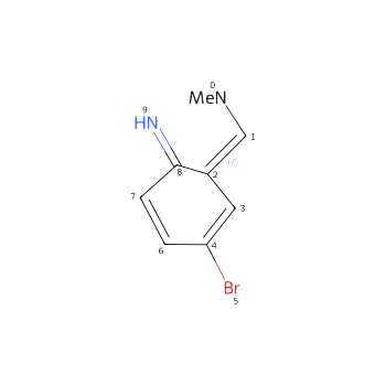 CN/C=C1/C=C(Br)C=CC1=N